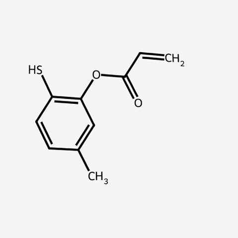 C=CC(=O)Oc1cc(C)ccc1S